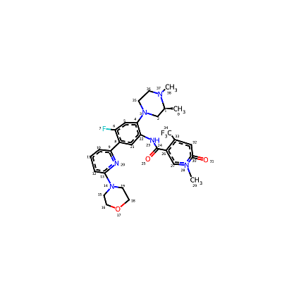 C[C@H]1CN(c2cc(F)c(-c3cccc(N4CCOCC4)n3)cc2NC(=O)c2cn(C)c(=O)cc2C(F)(F)F)CCN1C